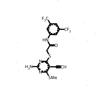 C#Cc1c(SC)nc(N)nc1SCC(=O)Nc1cc(C(F)(F)F)cc(C(F)(F)F)c1